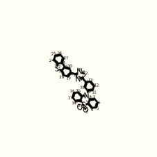 O=S1(=O)c2ccccc2N(c2cccc(-c3nc(-c4ccc5sc6ccccc6c5c4)ns3)c2)c2ccccc21